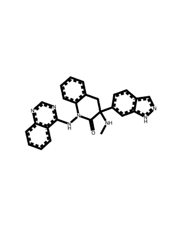 CNC1(c2ccc3cn[nH]c3c2)Cc2ccccc2N(Nc2ncnc3ccccc23)C1=O